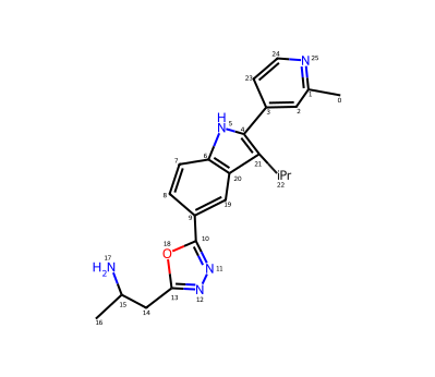 Cc1cc(-c2[nH]c3ccc(-c4nnc(CC(C)N)o4)cc3c2C(C)C)ccn1